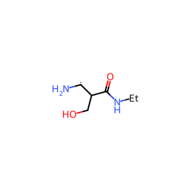 CCNC(=O)C([CH]N)CO